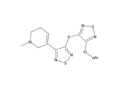 CCCOc1nsnc1Sc1nsnc1C1=CCCN(C)C1